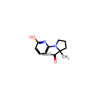 COC(=O)C1(C)CCCN1c1cccc(O)n1